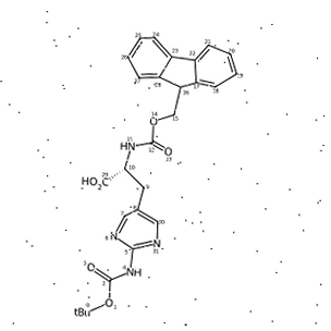 CC(C)(C)OC(=O)Nc1ncc(C[C@@H](NC(=O)OCC2c3ccccc3-c3ccccc32)C(=O)O)cn1